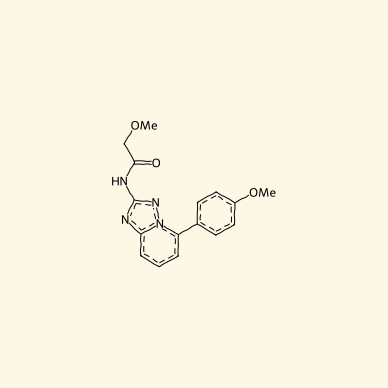 COCC(=O)Nc1nc2cccc(-c3ccc(OC)cc3)n2n1